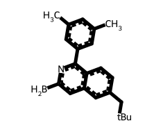 Bc1cc2cc(CC(C)(C)C)ccc2c(-c2cc(C)cc(C)c2)n1